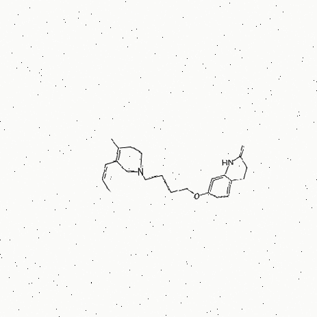 C=C1CCC2=CCC(OCCCCN3CCC(C)=C(/C=C\C)C3)=C=C2N1